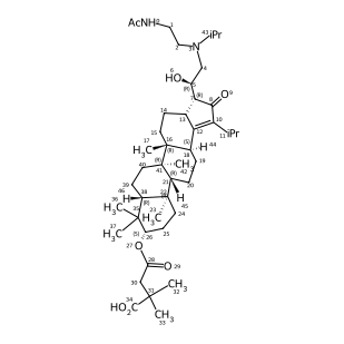 CC(=O)NCCN(C[C@H](O)[C@@H]1C(=O)C(C(C)C)=C2C1CC[C@]1(C)[C@@H]2CC[C@@H]2[C@@]3(C)CC[C@H](OC(=O)CC(C)(C)C(=O)O)C(C)(C)[C@@H]3CC[C@]21C)C(C)C